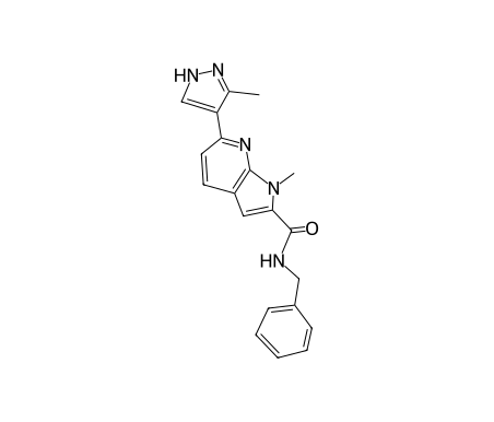 Cc1n[nH]cc1-c1ccc2cc(C(=O)NCc3ccccc3)n(C)c2n1